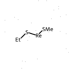 CC[S][Re][S]C